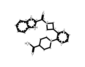 NC(=O)C1CCN(c2nccnc2C2CN(C(=O)c3nc4ccccc4[nH]3)C2)CC1